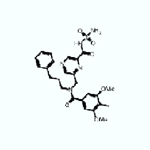 COc1cc(C(=O)N(CCCc2ccccc2)Cc2cncc(C(=O)NS(N)(=O)=O)n2)cc(OC)c1C